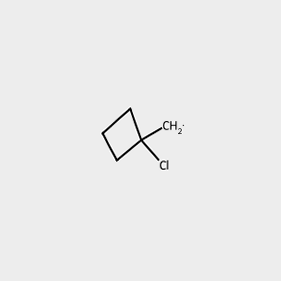 [CH2]C1(Cl)CCC1